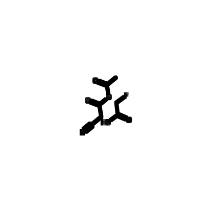 CC(=O)OC(=O)CC#N.O=C(O)CF